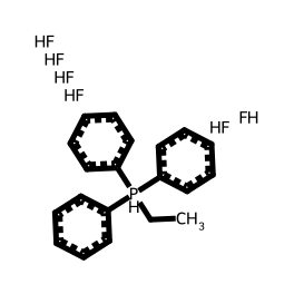 CC[PH](c1ccccc1)(c1ccccc1)c1ccccc1.F.F.F.F.F.F